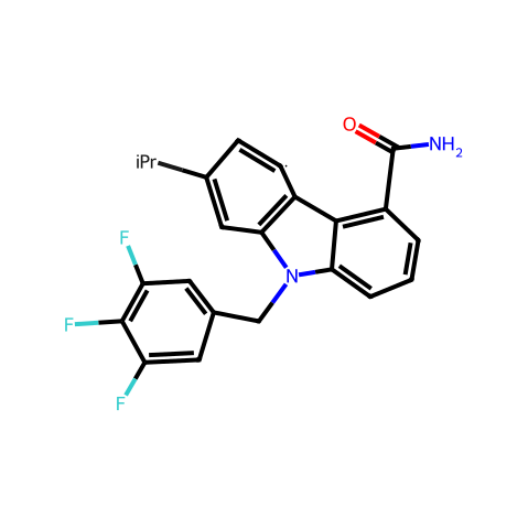 CC(C)c1c[c]c2c3c(C(N)=O)cccc3n(Cc3cc(F)c(F)c(F)c3)c2c1